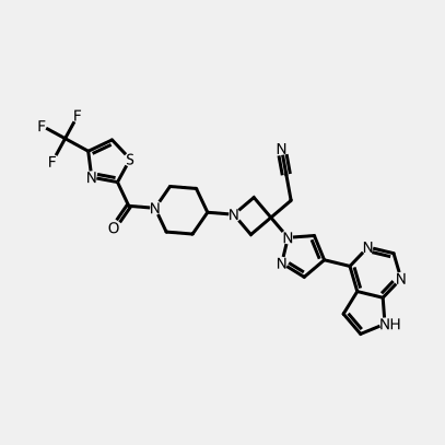 N#CCC1(n2cc(-c3ncnc4[nH]ccc34)cn2)CN(C2CCN(C(=O)c3nc(C(F)(F)F)cs3)CC2)C1